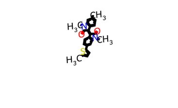 Cc1ccc2c(c1)N(C)C(=O)/C2=C1/C(=O)N(C)c2cc(-c3ccc(C)s3)ccc21